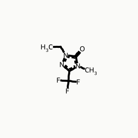 CCn1nc(C(F)(F)F)n(C)c1=O